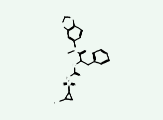 CC(C)C1CC1S(=O)(=O)NC(=O)NC(Cc1ccccc1)C(=O)N(C)c1ccc2c(c1)OCO2